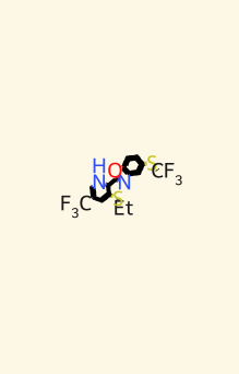 CCSC1=CC(C(F)(F)F)=CNC1c1nc2cc(SC(F)(F)F)ccc2o1